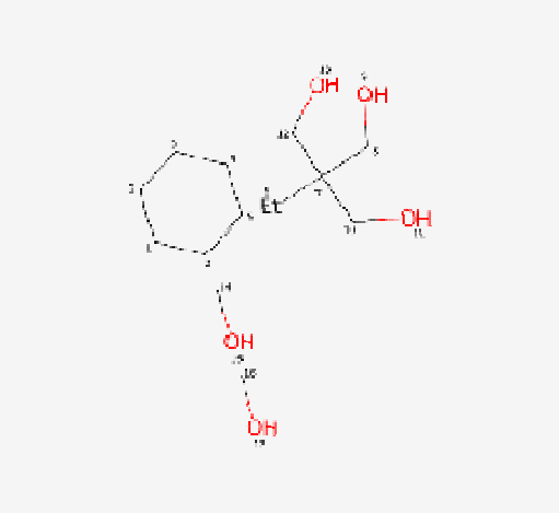 C1CCCCC1.CCC(CO)(CO)CO.CO.CO